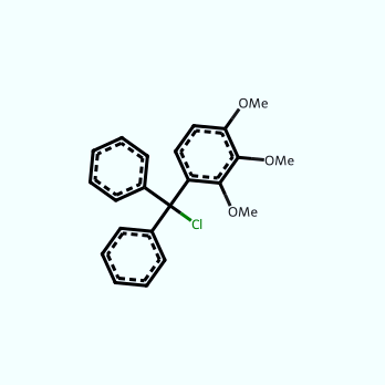 COc1ccc(C(Cl)(c2ccccc2)c2ccccc2)c(OC)c1OC